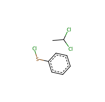 CC(Cl)Cl.ClSc1ccccc1